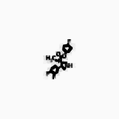 CCN(C(=O)Oc1ccc(F)cc1)[C@@H]1CNC[C@H]1c1ccc(F)c(F)c1